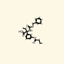 CCCC(=O)Oc1cccc(C(CC)(NC(=O)OCc2ccccc2)C(=O)O)c1